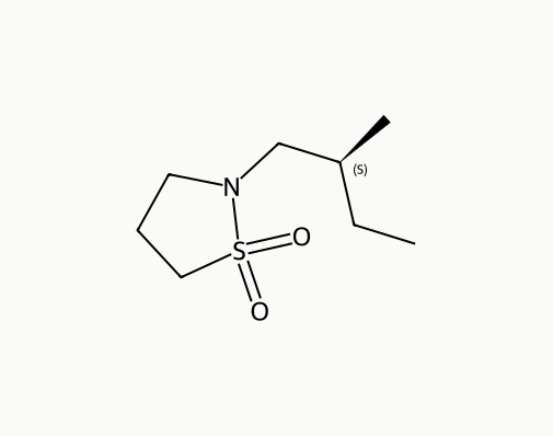 CC[C@H](C)CN1CCCS1(=O)=O